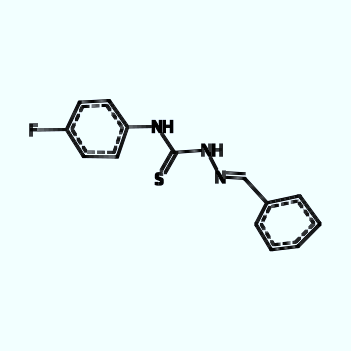 Fc1ccc(NC(=S)N/N=C/c2ccccc2)cc1